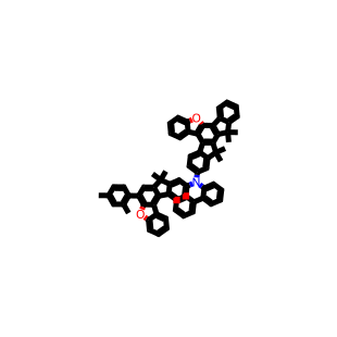 Cc1ccc(-c2cc3c(c4c2oc2ccccc24)-c2ccc(N(c4ccc5c(c4)C(C)(C)c4c6c(c7oc8ccccc8c7c4-5)-c4ccccc4C6(C)C)c4ccccc4-c4ccccc4)cc2C3(C)C)c(C)c1